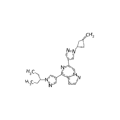 C=C1CC(n2cc(-c3cn4nccc4c(-c4cnn(C(CC)CC)c4)n3)cn2)C1